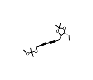 CC[C@H]1OC(C)(C)O[C@@H]1CC#CC#CCOC(C)(C)OC